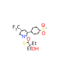 CCC(O)(CC)C(=S)Oc1ncc(C(F)(F)F)cc1-c1ccc(S(C)(=O)=O)cc1